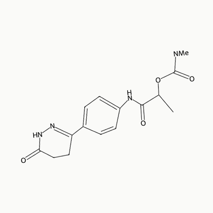 CNC(=O)OC(C)C(=O)Nc1ccc(C2=NNC(=O)CC2)cc1